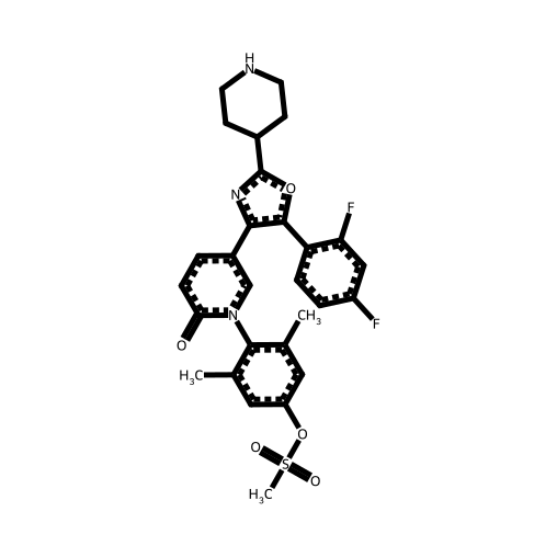 Cc1cc(OS(C)(=O)=O)cc(C)c1-n1cc(-c2nc(C3CCNCC3)oc2-c2ccc(F)cc2F)ccc1=O